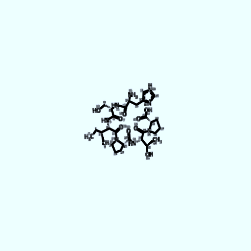 CC[C@H](C)[C@H](NC(=O)[C@H](CO)NC(=O)[C@@H](N)Cc1c[nH]cn1)C(=O)N1CCC[C@H]1C(=O)N[C@H](C(=O)N1CCC[C@H]1C(=O)O)[C@@H](C)O